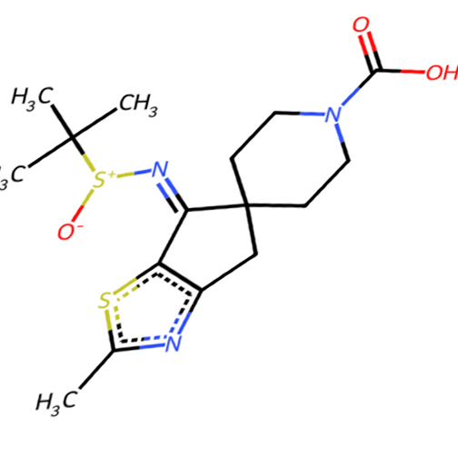 Cc1nc2c(s1)/C(=N\[S+]([O-])C(C)(C)C)C1(CCN(C(=O)O)CC1)C2